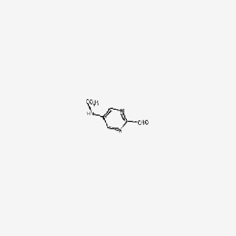 O=Cc1ncc(NC(=O)O)cn1